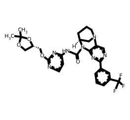 CC1(C)OC[C@@H](COc2nccc(NC(=O)N3c4nc(-c5cccc(C(F)(F)F)c5)ncc4N4CCC[C@H]3C4)n2)O1